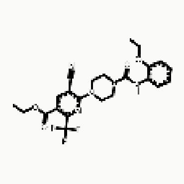 CCOC(=O)c1cc(C#N)c(N2CCN(C(=O)Nc3ccccc3OCC)CC2)nc1C(F)(F)F